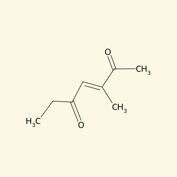 CCC(=O)/C=C(\C)C(C)=O